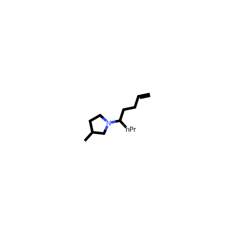 C=CCCC(CCC)N1CCC(C)C1